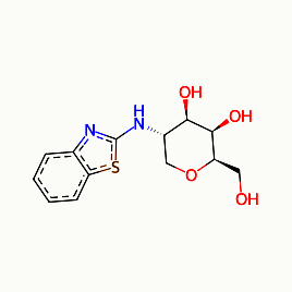 OC[C@H]1OC[C@H](Nc2nc3ccccc3s2)[C@@H](O)[C@H]1O